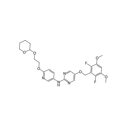 COc1cc(OC)c(F)c(COc2cnc(Nc3ccc(OCCOC4CCCCO4)nc3)nc2)c1F